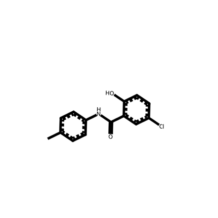 Cc1ccc(NC(=O)c2cc(Cl)ccc2O)cc1